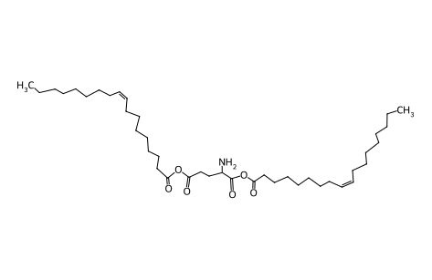 CCCCCCCC/C=C\CCCCCCCC(=O)OC(=O)CCC(N)C(=O)OC(=O)CCCCCCC/C=C\CCCCCCCC